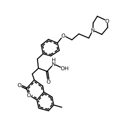 Cc1ccc2oc(=O)c(CC(Cc3ccc(OCCCN4CCOCC4)cc3)C(=O)NO)cc2c1